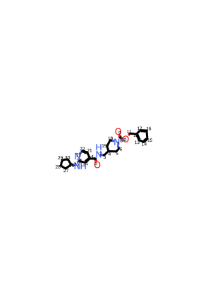 O=C(NCC1CCN(C(=O)OCc2ccccc2)CC1)c1ccnc(NC2CCCC2)c1